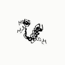 Cc1c(-c2ccc(C[C@H](NC(=O)c3c(Cl)cc(OCCCN)cc3Cl)C(=O)O)cc2)c(=O)n(C)c(=O)n1C.O=C(O)C(F)(F)F